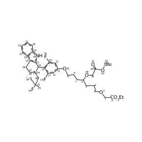 CCOC(=O)COCCCC(CCCOc1cc(F)c(C2c3[nH]c4ccccc4c3C[C@@H](C)N2CC(C)(C)F)c(F)c1)OCC(=O)OC(C)(C)C